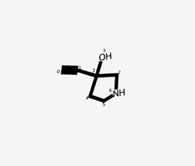 C#CC1(O)CCNC1